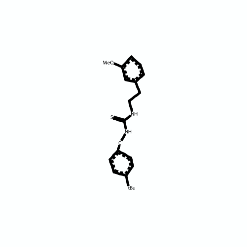 COc1cccc(CCNC(=S)NCc2ccc(C(C)(C)C)cc2)c1